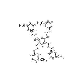 Cc1ccc[n+](CCCc2cc(CCC[n+]3cccc(C)c3)c(CCC[n+]3cccc(C)c3)cc2CCC[n+]2cccc(C)c2)c1